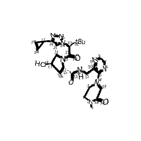 CN1CCN(c2nccnc2CNC(=O)[C@@H]2C[C@@H](O)CN2C(=O)[C@@H](n2cc(C3CC3)nn2)C(C)(C)C)CC1=O